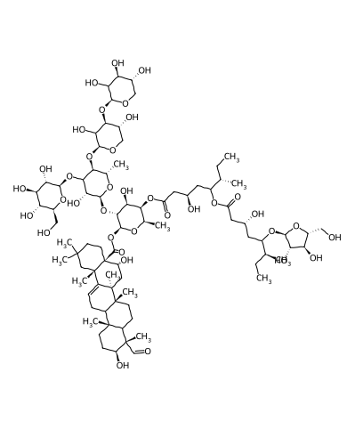 CC[C@H](C)C(C[C@@H](O)CC(=O)O[C@@H]1[C@H](O)[C@@H](O[C@@H]2O[C@@H](C)[C@H](O[C@@H]3OC[C@@H](O)[C@H](O[C@@H]4OC[C@@H](O)[C@H](O)C4O)C3O)C(O[C@H]3O[C@@H](CO)[C@H](O)[C@@H](O)[C@@H]3O)[C@H]2O)[C@H](OC(=O)[C@]23CCC(C)(C)C[C@@]2(C)C2=CCC4[C@@]5(C)CC[C@H](O)[C@@](C)(C=O)C5CC[C@@]4(C)[C@]2(C)C[C@H]3O)O[C@@H]1C)OC(=O)C[C@H](O)CC(O[C@H]1O[C@H](CO)[C@@H](O)[C@@H]1O)[C@@H](C)CC